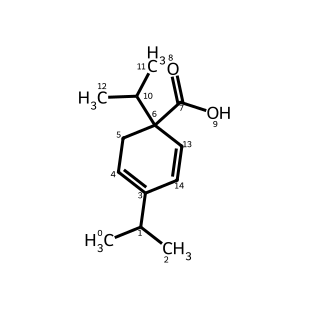 CC(C)C1=CCC(C(=O)O)(C(C)C)C=C1